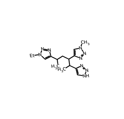 CCn1cc(C(C)CC(c2cn(C)nn2)C(C)c2c[nH]nn2)nn1